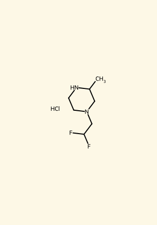 CC1CN(CC(F)F)CCN1.Cl